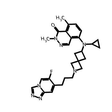 Cc1ccc(N(C2CC2)C2CC3(C2)CN(CCCc2cc4nncn4cc2F)C3)c2cnn(C)c(=O)c12